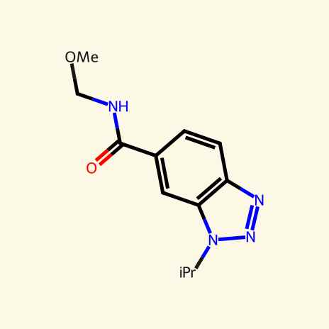 COCNC(=O)c1ccc2nnn(C(C)C)c2c1